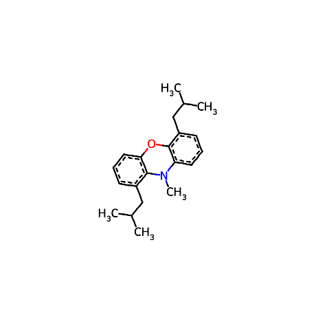 CC(C)Cc1cccc2c1Oc1cccc(CC(C)C)c1N2C